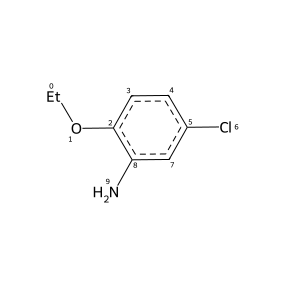 CCOc1ccc(Cl)cc1N